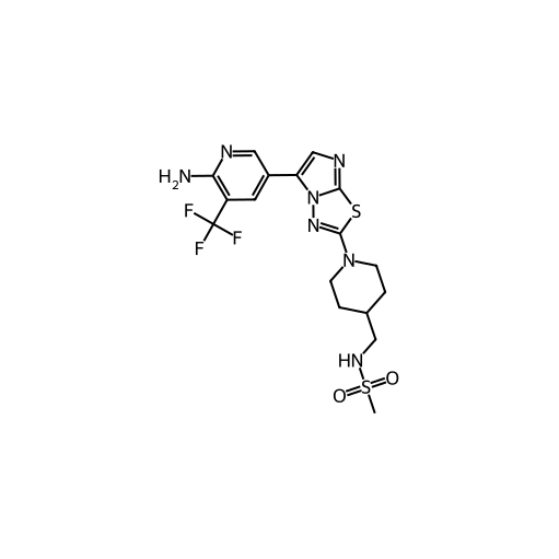 CS(=O)(=O)NCC1CCN(c2nn3c(-c4cnc(N)c(C(F)(F)F)c4)cnc3s2)CC1